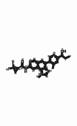 CCC(O)c1cc(C)c(-c2cc3cnc(NC(=O)[C@H]4CC4(F)F)cc3c3c2ncn3C)cn1